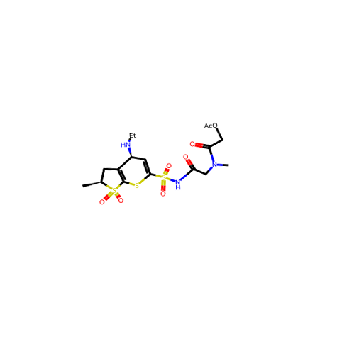 CCN[C@H]1C=C(S(=O)(=O)NC(=O)CN(C)C(=O)COC(C)=O)SC2=C1C[C@H](C)S2(=O)=O